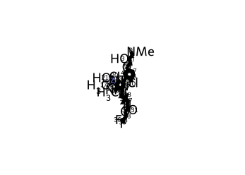 CNC[C@@H](O)COc1ccc(Cl)c(-c2nc(/C(C(C)=N)=C(\C)O)c(C)c(N3CC4(CN(C(=O)OCC(F)F)C4)C3)n2)c1